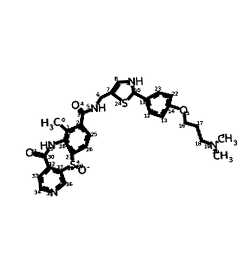 Cc1c(C(=O)NCC2=CNC(c3ccc(OCCCN(C)C)cc3)S2)ccc2c1NC(=O)c1ccncc1[S+]2[O-]